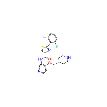 O=C(Nc1cnccc1OCC1CCNCC1)c1csc(-c2c(F)cccc2F)n1